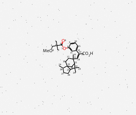 COCC(C)(C)C(=O)Oc1cccc(/C(=C\C2(C)CCC34CC2C(C)(C)C3CCC4C)C(=O)O)c1